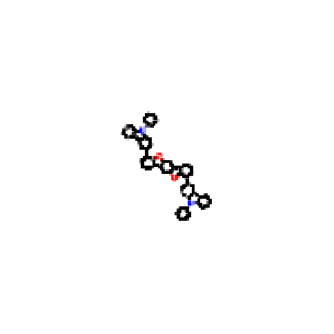 C1=C(c2cccc3c2oc2cc4c(cc23)oc2c(-c3ccc5c(c3)c3ccccc3n5-c3ccccc3)cccc24)C=C2c3ccccc3N(c3ccccc3)C2C1